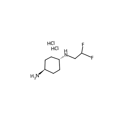 Cl.Cl.N[C@H]1CC[C@H](NCC(F)F)CC1